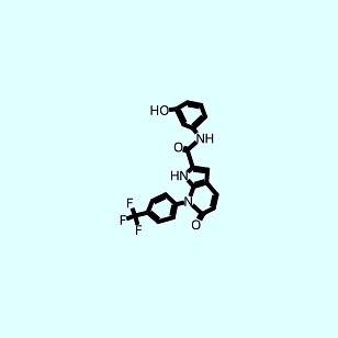 O=C(Nc1cccc(O)c1)c1cc2ccc(=O)n(-c3ccc(C(F)(F)F)cc3)c2[nH]1